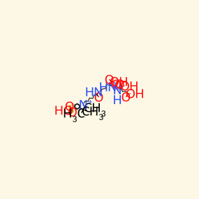 CC1=[N+](CCCCCC(=O)NCCCCC(NC(=O)NC(CCC(=O)O)C(=O)O)C(=O)O)c2ccc(S(=O)(=O)O)cc2C1(C)C